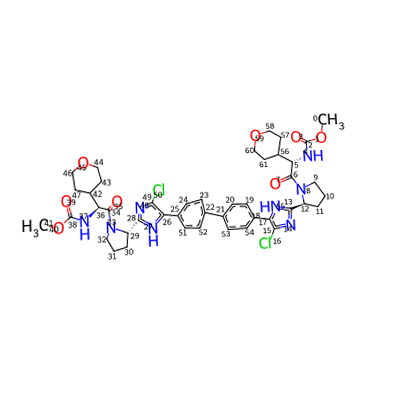 COC(=O)N[C@H](C(=O)N1CCC[C@H]1c1nc(Cl)c(-c2ccc(-c3ccc(-c4[nH]c([C@@H]5CCCN5C(=O)[C@@H](NC(=O)OC)C5CCOCC5)nc4Cl)cc3)cc2)[nH]1)C1CCOCC1